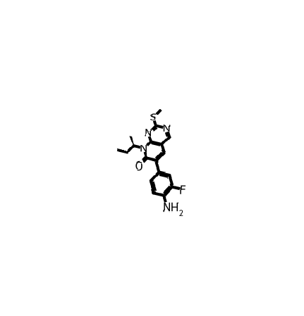 CC[C@@H](C)n1c(=O)c(-c2ccc(N)c(F)c2)cc2cnc(SC)nc21